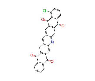 O=C1C2=C(Cc3cc4c(nc3=C2)CC2=C(C=4)C(=O)c3c(Cl)cccc3C2=O)C(=O)c2ccccc21